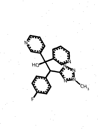 Cn1nnc(C(c2ccc(F)cc2)C(O)(c2cccnc2)c2cccnc2)n1